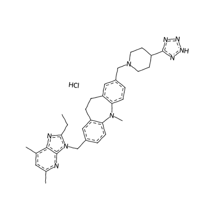 CCc1nc2c(C)cc(C)nc2n1Cc1ccc2c(c1)CCc1cc(CN3CCC(c4nn[nH]n4)CC3)ccc1N2C.Cl